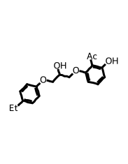 CCc1ccc(OCC(O)COc2cccc(O)c2C(C)=O)cc1